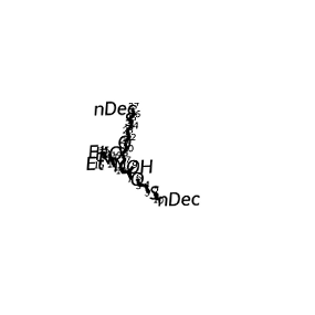 CCCCCCCCCCCSCCCOCC(O)CN(CCN(CC)CC)CC(O)COCCCSCCCCCCCCCCC